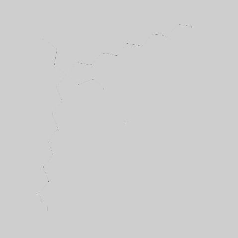 CCCCCCCCCC[P+](CCC)(CCC)CCCCCCCCCC.[Br-]